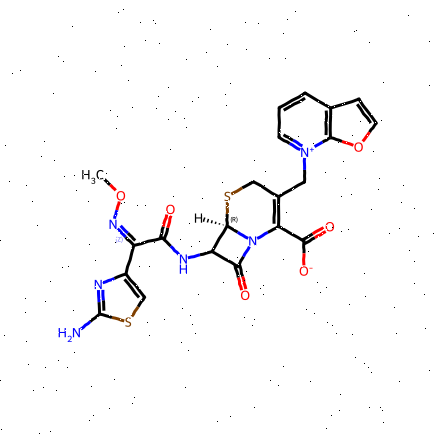 CO/N=C(\C(=O)NC1C(=O)N2C(C(=O)[O-])=C(C[n+]3cccc4ccoc43)CS[C@H]12)c1csc(N)n1